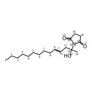 CCCCCCCCC/C=C/CC(C)(O)N1C(=O)CCC1=O